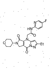 CCc1cc2n(CC(=O)Nc3ccc(F)cn3)c3c(c(=O)n2n1)CN(C1CCOCC1)C3=O